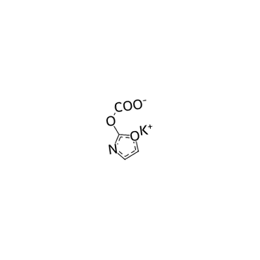 O=C([O-])Oc1ncco1.[K+]